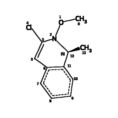 CON1C(Cl)=Cc2ccccc2[C@@H]1C